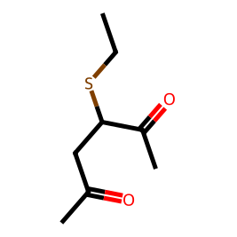 CCSC(CC(C)=O)C(C)=O